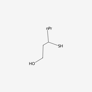 CCCC(S)CCO